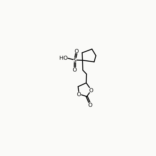 O=C1OCC(CCC2(S(=O)(=O)O)CCCC2)O1